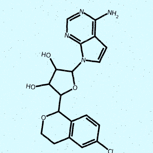 Nc1ncnc2c1ccn2C1OC(C2OCCc3cc(Cl)ccc32)C(O)C1O